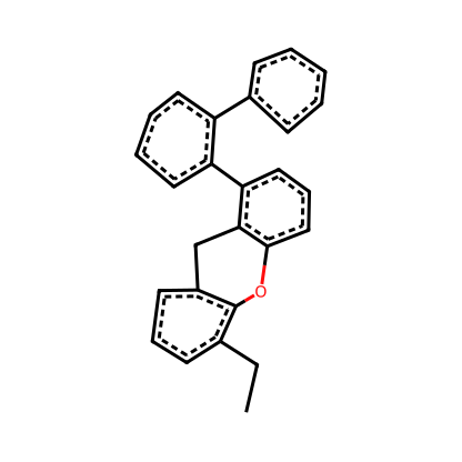 CCc1cccc2c1Oc1cccc(-c3ccccc3-c3ccccc3)c1C2